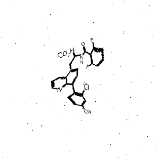 N#Cc1ccc(-c2ccc(CC(NC(=O)c3c(F)cccc3F)C(=O)O)c3cccnc23)c(Cl)c1